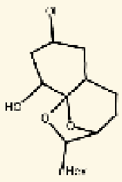 CCCCCCC1OC23OC1CCC2CC(O)CC3O